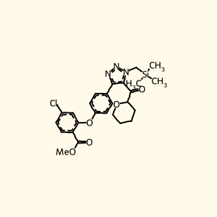 COC(=O)c1ccc(Cl)cc1Oc1ccc(-c2nnn(C[Si](C)(C)C)c2C(=O)C2CCCCO2)cc1